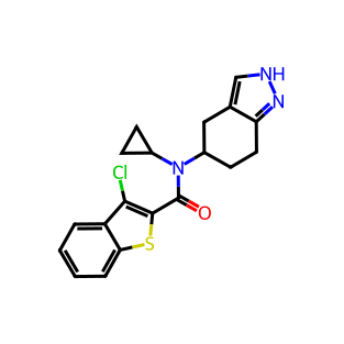 O=C(c1sc2ccccc2c1Cl)N(C1CC1)C1CCc2n[nH]cc2C1